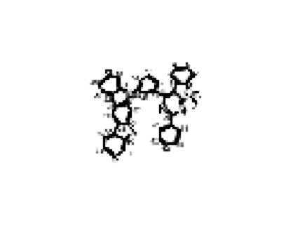 C[Si]1(C)c2ccccc2-c2c(-c3cccc(-n4c5ccccc5c5cc6c(cc54)sc4ccccc46)c3)nc(-c3ccccc3)nc21